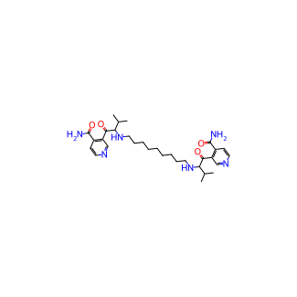 CC(C)C(NCCCCCCCCCNC(C(=O)c1cnccc1C(N)=O)C(C)C)C(=O)c1cnccc1C(N)=O